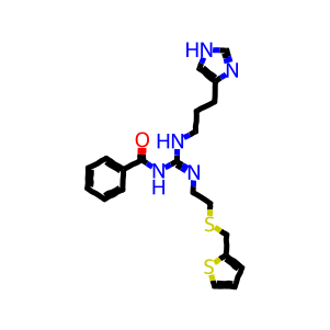 O=C(N/C(=N\CCSCc1cccs1)NCCCc1c[nH]cn1)c1ccccc1